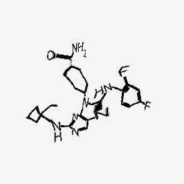 CC1(Nc2ncc3nc(Nc4ccc(F)cc4F)n([C@H]4CC[C@@H](C(N)=O)CC4)c3n2)CCC1